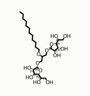 CCCCCCCCCCCCOC(CO[C@@H]1O[C@H]([C@H](O)CO)[C@H](O)[C@@H]1O)CO[C@@H]1O[C@H]([C@H](O)CO)[C@H](O)[C@@H]1O